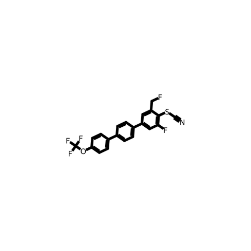 N#CSc1c(F)cc(-c2ccc(-c3ccc(OC(F)(F)F)cc3)cc2)cc1CF